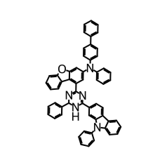 c1ccc(-c2ccc(N(c3ccccc3)c3cc(C4=NC(c5ccccc5)NC(c5ccc6c7ccccc7n(-c7ccccc7)c6c5)=N4)c4c(c3)oc3ccccc34)cc2)cc1